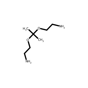 CC(C)(OCCN)OCCN